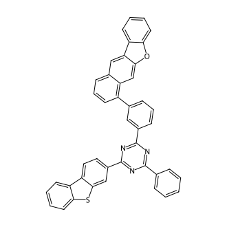 c1ccc(-c2nc(-c3cccc(-c4cccc5cc6c(cc45)oc4ccccc46)c3)nc(-c3ccc4c(c3)sc3ccccc34)n2)cc1